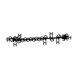 CCC[C@H](O)C(CO)NC(=O)CCC(=O)NCCOCCOCCOCCOCCOCCOCCOCCOCCNC(=O)CCCCCNC(=O)CCCCCNC(=O)CCCC[C@@H]1SC[C@@H]2NC(=O)N[C@@H]21